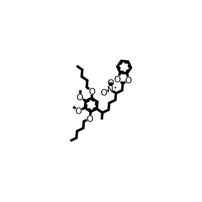 CCCCCOc1cc(C(C)CCCC(CC2Oc3ccccc3O2)[N+](=O)[O-])c(OCCCCC)c(OC)c1OC